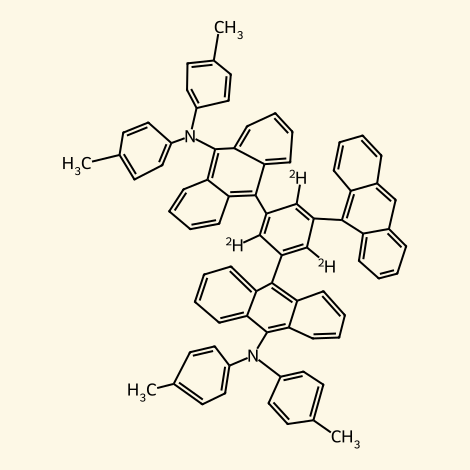 [2H]c1c(-c2c3ccccc3cc3ccccc23)c([2H])c(-c2c3ccccc3c(N(c3ccc(C)cc3)c3ccc(C)cc3)c3ccccc23)c([2H])c1-c1c2ccccc2c(N(c2ccc(C)cc2)c2ccc(C)cc2)c2ccccc12